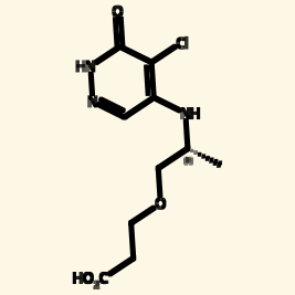 C[C@H](COCCC(=O)O)Nc1cn[nH]c(=O)c1Cl